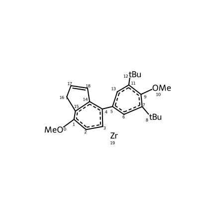 COc1ccc(-c2cc(C(C)(C)C)c(OC)c(C(C)(C)C)c2)c2c1[CH]C=C2.[Zr]